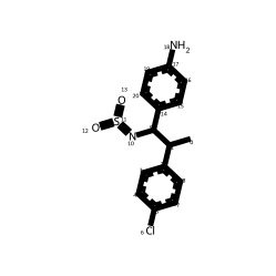 CC(c1ccc(Cl)cc1)C(N=S(=O)=O)c1ccc(N)cc1